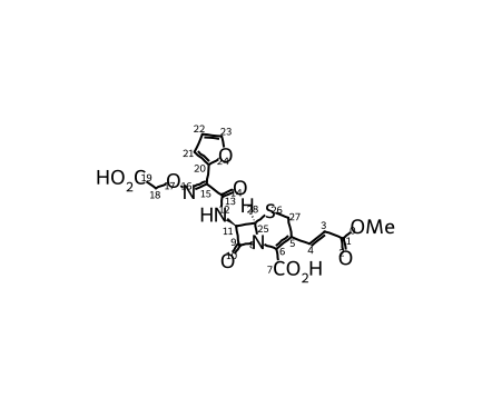 COC(=O)/C=C/C1=C(C(=O)O)N2C(=O)[C@@H](NC(=O)C(=NOCC(=O)O)c3ccco3)[C@H]2SC1